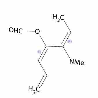 C=C/C=C(OC=O)\C(=C/C)NC